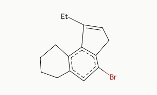 CCC1=CCc2c(Br)cc3c(c21)CCCC3